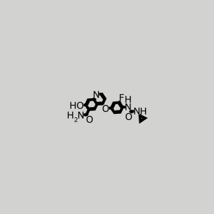 NC(=O)c1cc2c(Oc3ccc(NC(=O)NC4CC4)c(F)c3)ccnc2cc1O